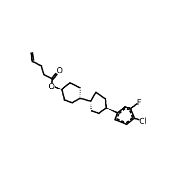 C=CCCC(=O)O[C@H]1CC[C@H]([C@H]2CC[C@H](c3ccc(Cl)c(F)c3)CC2)CC1